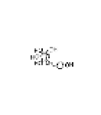 OC[C@H]1O[C@@H](OCCc2ccc(O)cc2)[C@H](O)C(O)[C@@H]1O